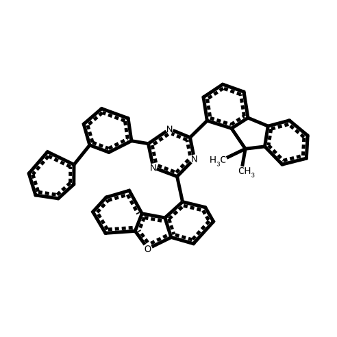 CC1(C)c2ccccc2-c2cccc(-c3nc(-c4cccc(-c5ccccc5)c4)nc(-c4cccc5oc6ccccc6c45)n3)c21